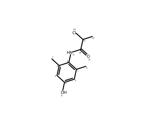 Cc1cc(O)cc(C)c1NC(=O)C(C)Cl